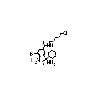 CCC(N)(c1cc(C(=O)NCCCCCCl)cc(Br)c1N)C1CCCCC1